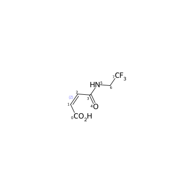 O=C(O)/C=C\C(=O)NCC(F)(F)F